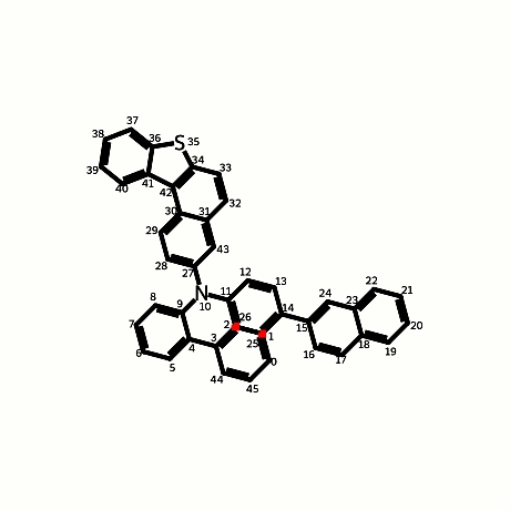 c1ccc(-c2ccccc2N(c2ccc(-c3ccc4ccccc4c3)cc2)c2ccc3c(ccc4sc5ccccc5c43)c2)cc1